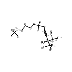 CC(C)(CC#CC(O)(C(F)(F)F)C(F)(F)F)CCCCOC(C)(C)C